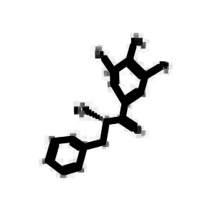 Bc1c(CC)cc(C(=O)[C@@H](N)Cc2ccccc2)cc1CC